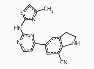 Cc1csc(Nc2nccc(-c3cc(C#N)c4c(c3)CCN4)n2)n1